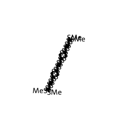 CSC1=C(SC)SC(=C2SC3=C(S2)SC(=C2SC4=C(SCSC5=C(SCS4)SC(=C4SC6=C(S4)SC(=C4SC7=C(SCSC8=C(SCS7)SC(=C7SC9=C(SC(=C%10SC(SC)=C(SC)S%10)S9)S7)S8)S4)S6)S5)S2)S3)S1